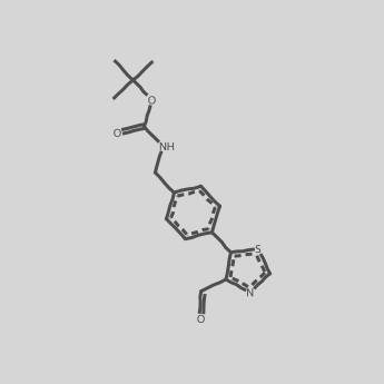 CC(C)(C)OC(=O)NCc1ccc(-c2scnc2C=O)cc1